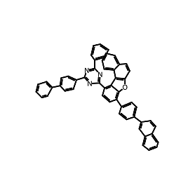 c1ccc(-c2ccc(-c3nc(-c4ccccc4)nc(-c4ccc(-c5ccc(-c6ccc7ccccc7c6)cc5)c5oc6ccc7ccccc7c6c45)n3)cc2)cc1